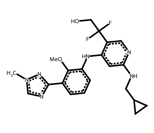 COc1c(Nc2cc(NCC3CC3)ncc2C(F)(F)CO)cccc1-c1ncn(C)n1